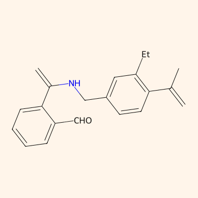 C=C(NCc1ccc(C(=C)C)c(CC)c1)c1ccccc1C=O